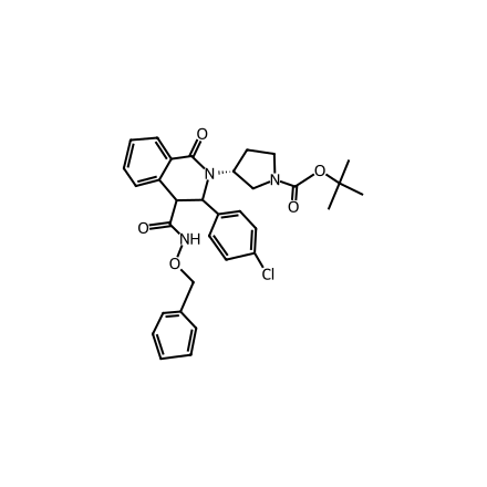 CC(C)(C)OC(=O)N1CC[C@@H](N2C(=O)c3ccccc3C(C(=O)NOCc3ccccc3)C2c2ccc(Cl)cc2)C1